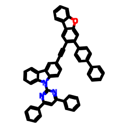 C(#Cc1cc2c(cc1-c1ccc(-c3ccccc3)cc1)oc1ccccc12)c1ccc2c(c1)c1ccccc1n2-c1nc(-c2ccccc2)cc(-c2ccccc2)n1